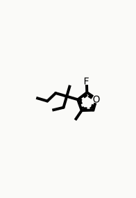 CCCC(C)(CC)c1c(C)coc1F